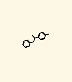 Cc1ccc(C(C)Cc2ccccc2)cc1